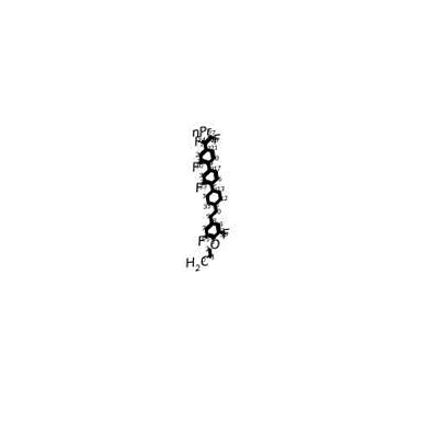 C=CCOc1c(F)cc(CCC2CCC(c3ccc(-c4ccc(/C(F)=C(\F)CCC)cc4F)cc3F)CC2)cc1F